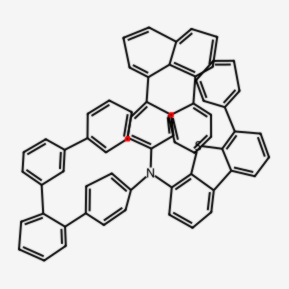 c1ccc(-c2cccc(-c3ccccc3-c3ccc(N(c4ccc(-c5cccc6cccc(-c7ccccc7)c56)cc4)c4cccc5c4sc4c(-c6ccccc6)cccc45)cc3)c2)cc1